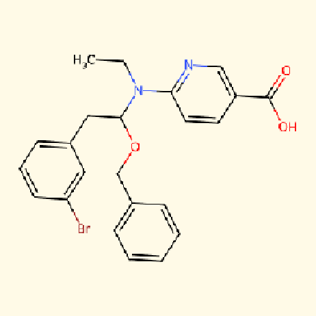 CCN(c1ccc(C(=O)O)cn1)C(Cc1cccc(Br)c1)OCc1ccccc1